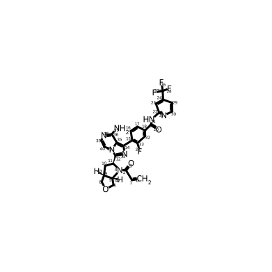 C=CC(=O)N1[C@@H]2COC[C@@H]2C[C@H]1c1nc(-c2ccc(C(=O)Nc3cc(C(F)(F)F)ccn3)cc2F)c2c(N)nccn12